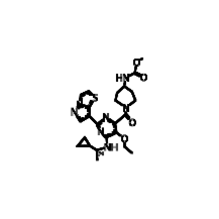 CCOc1c(N[C@@H](C)C2CC2)nc(-c2cnn3ccsc23)nc1C(=O)N1CCC(NC(=O)OC)CC1